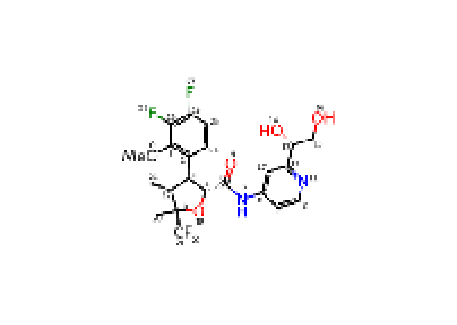 COc1c([C@H]2[C@H](C(=O)Nc3ccnc([C@H](O)CO)c3)O[C@@](C)(C(F)(F)F)[C@H]2C)ccc(F)c1F